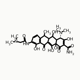 CC1c2ccc(NC(=O)CN(C)C)c(O)c2C(=O)C2=C(O)C3(O)C(=O)C(C(N)=O)=C(O)[C@@H](N(C)C)C3C(O)C21